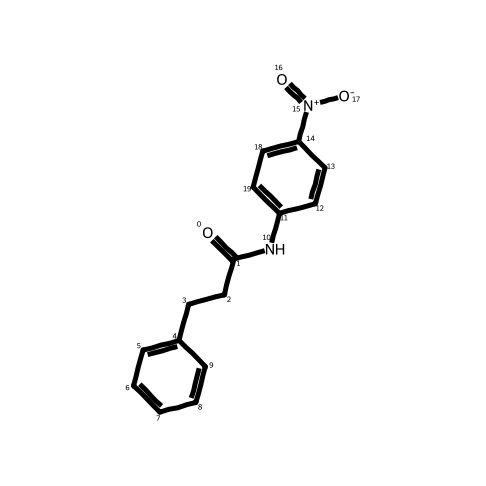 O=C(CCc1ccccc1)Nc1ccc([N+](=O)[O-])cc1